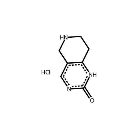 Cl.O=c1ncc2c([nH]1)CCNC2